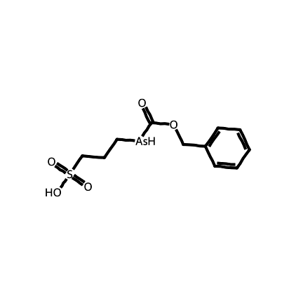 O=C(OCc1ccccc1)[AsH]CCCS(=O)(=O)O